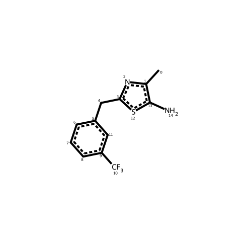 Cc1nc(Cc2cccc(C(F)(F)F)c2)sc1N